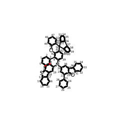 c1ccc(-c2c(N(c3ccc4sc5ccccc5c4c3)c3cc(-c4ccccc4)c4oc5ccccc5c4c3)ccc3c2Oc2ccccc2C32c3ccccc3-c3ccccc32)cc1